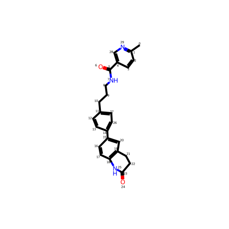 Cc1ccc(C(=O)NCCCc2ccc(-c3ccc4c(c3)CCC(=O)N4)cc2)cn1